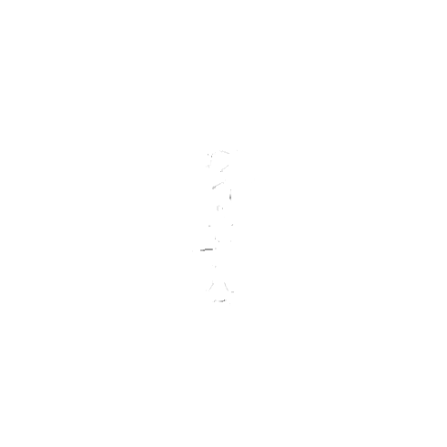 O=C(O)C(=CNC1CCN(C(=O)OCc2ccccc2)C1)C(=O)c1cccnc1Cl